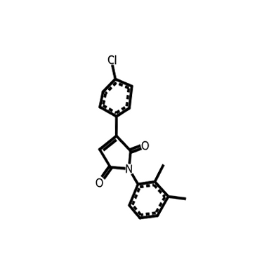 Cc1cccc(N2C(=O)C=C(c3ccc(Cl)cc3)C2=O)c1C